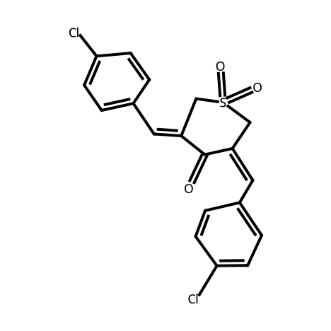 O=C1C(=Cc2ccc(Cl)cc2)CS(=O)(=O)CC1=Cc1ccc(Cl)cc1